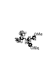 COc1ccc(Oc2nc(-c3cncc(OC)c3)ncc2NC[C@H]2C[C@@H](O[Si](C)(C)C(C)(C)C)CN2C(=O)OC(C)(C)C)cc1